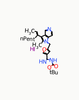 CC=C(CCCCC)c1c(C)n(Cc2cc(C(=N)NC(=O)OC(C)(C)C)co2)c2ccncc12.I